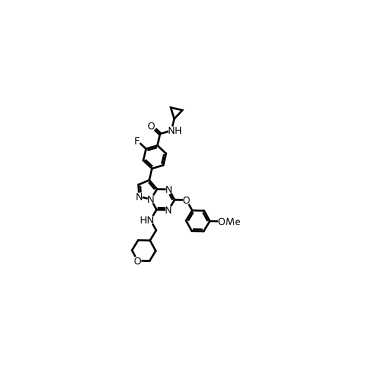 COc1cccc(Oc2nc(NCC3CCOCC3)n3ncc(-c4ccc(C(=O)NC5CC5)c(F)c4)c3n2)c1